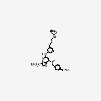 CCOC(=O)c1cnc2c(N(C)Cc3ccc(OC)cc3)cc(Nc3cccc(OCCNC(=O)OC(C)(C)C)c3)nn12